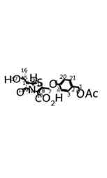 CC(=O)OCc1ccc(OCC2=C(C(=O)O)N3C(=O)[C@H]([C@@H](C)O)[C@H]3S2)cc1